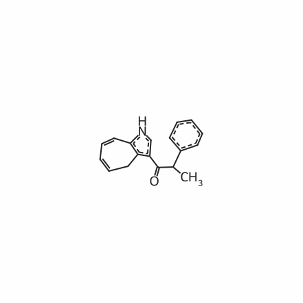 CC(C(=O)c1c[nH]c2c1CC=CC=C2)c1ccccc1